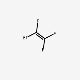 [CH2]CC(F)=C(F)F